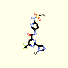 Cn1cncc1-c1nc(C(=O)Nc2ccc(NS(C)(=O)=O)nc2)cc(C(F)(F)F)n1